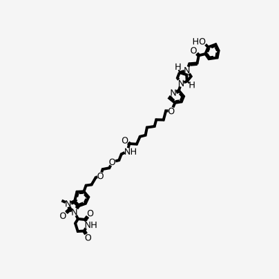 Cn1c(=O)n(C2CCC(=O)NC2=O)c2ccc(CCCOCCOCCNC(=O)CCCCCCCCOc3ccc(N4C[C@H]5C[C@@H]4CN5/C=C/C(=O)c4ccccc4O)nc3)cc21